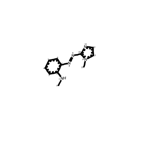 CNc1ccccc1/N=N/c1nccn1C